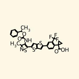 Cc1nsc(-c2cc3sc(-c4ccc(C5(C(=O)O)CC5)c(C(F)(F)F)c4)cc3s2)c1NC(=O)O[C@H](C)c1ccccc1